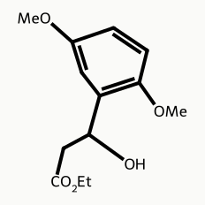 CCOC(=O)CC(O)c1cc(OC)ccc1OC